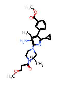 COCCC(=O)N1CCN(c2nc(C3CC3)c(-c3cccc(C(=O)OC)c3)c(C)c2N)C[C@H]1C